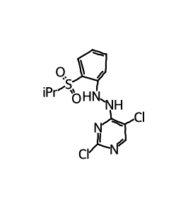 CC(C)S(=O)(=O)c1ccccc1NNc1nc(Cl)ncc1Cl